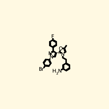 CC1=CN(CCc2cccc(N)c2)[C@H](c2cn(-c3ccc(Br)cc3)nc2-c2ccc(F)cc2)O1